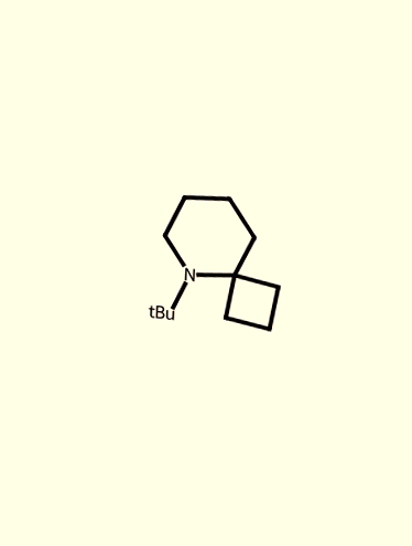 CC(C)(C)N1CCCCC12CCC2